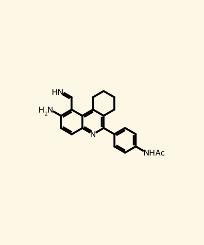 CC(=O)Nc1ccc(-c2nc3ccc(N)c(C=N)c3c3c2CCCC3)cc1